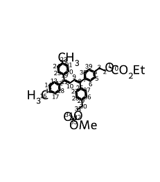 CCOC(=O)OCCc1ccc(C(=CC=C(c2ccc(C)cc2)c2ccc(C)cc2)c2ccc(CCOC(=O)OC)cc2)cc1